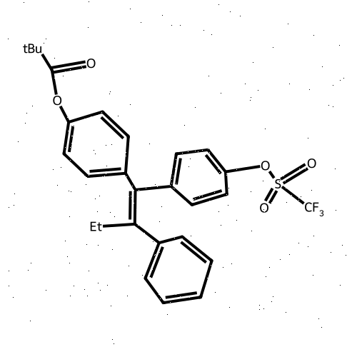 CC/C(=C(\c1ccc(OC(=O)C(C)(C)C)cc1)c1ccc(OS(=O)(=O)C(F)(F)F)cc1)c1ccccc1